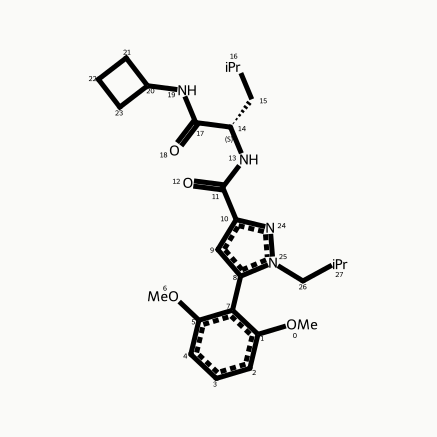 COc1cccc(OC)c1-c1cc(C(=O)N[C@@H](CC(C)C)C(=O)NC2CCC2)nn1CC(C)C